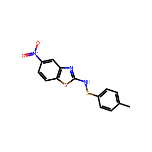 Cc1ccc(SNc2nc3cc([N+](=O)[O-])ccc3s2)cc1